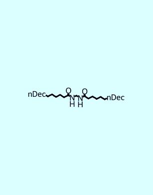 CCCCCCCCCCCCCCCC(=O)NCNC(=O)CCCCCCCCCCCCCCC